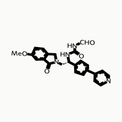 COc1ccc2c(c1)C(=O)N(C[C@H](NC(=O)NC=O)c1ccc(-c3ccncc3)cc1)C2